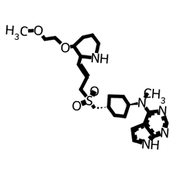 COCCOC1CCCNC1C=CCS(=O)(=O)C[C@H]1CC[C@H](N(C)c2ncnc3[nH]ccc23)CC1